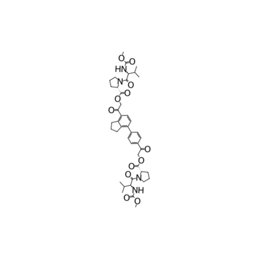 COC(=O)N[C@H](C(=O)N1CCC[C@H]1C(=O)OCC(=O)c1ccc(-c2ccc(C(=O)COC(=O)[C@@H]3CCCN3C(=O)[C@@H](NC(=O)OC)C(C)C)c3c2CCC3)cc1)C(C)C